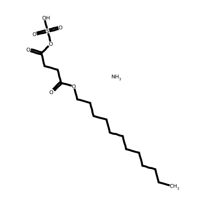 CCCCCCCCCCCCOC(=O)CCC(=O)OS(=O)(=O)O.N